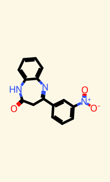 O=C1CC(c2cccc([N+](=O)[O-])c2)=Nc2ccccc2N1